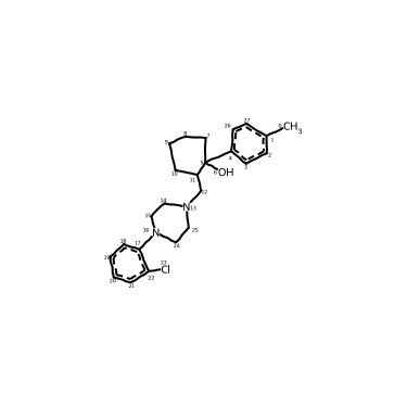 Cc1ccc(C2(O)CCCCC2CN2CCN(c3ccccc3Cl)CC2)cc1